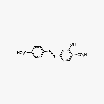 O=C(O)c1ccc(/N=N/c2ccc(C(=O)O)c(O)c2)cc1